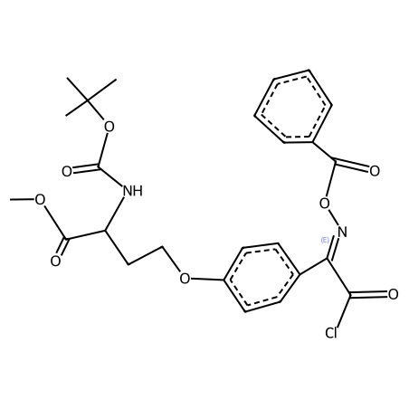 COC(=O)C(CCOc1ccc(/C(=N\OC(=O)c2ccccc2)C(=O)Cl)cc1)NC(=O)OC(C)(C)C